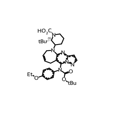 CCOc1ccc(N(C(=O)OC(C)(C)C)c2c3c(nc4ccnn24)N(C2CCCN(C(=O)O)[C@H]2C(C)(C)C)CC=CC3)cc1